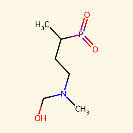 CC(CCN(C)CO)P(=O)=O